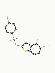 COc1cc2sc(CC(C)(C(=O)O)c3ccc(C(C)C)cc3)cc2c(Cl)c1OC